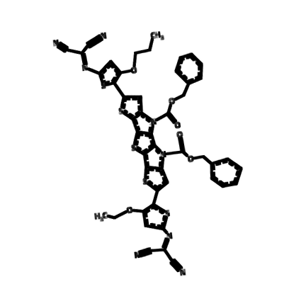 CCCOc1cc(N=C(C#N)C#N)sc1-c1cc2c(s1)c1sc3c4sc(-c5sc(N=C(C#N)C#N)cc5OCC)cc4n(C(=O)OCc4ccccc4)c3c1n2C(=O)OCc1ccccc1